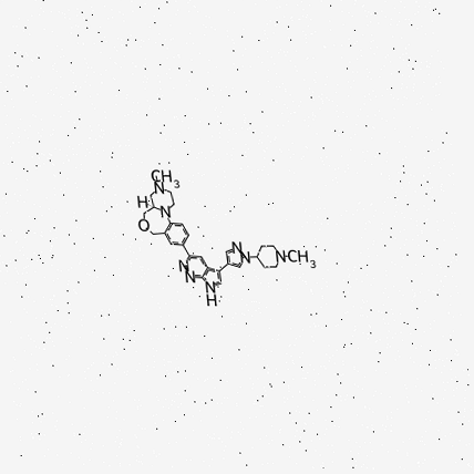 CN1CCC(n2cc(-c3c[nH]c4nnc(-c5ccc6c(c5)COC[C@H]5CN(C)CCN65)cc34)cn2)CC1